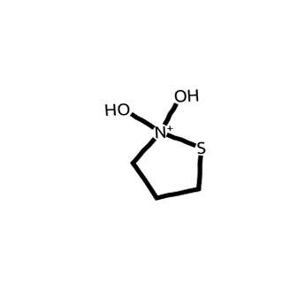 O[N+]1(O)CCCS1